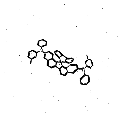 Cc1cccc(N(c2ccccc2)c2ccc3c4c(ccc3c2)-c2ccc3cc(N(c5ccccc5)c5cccc(C)c5)ccc3c2C42c3ccccc3-c3ccccc32)c1